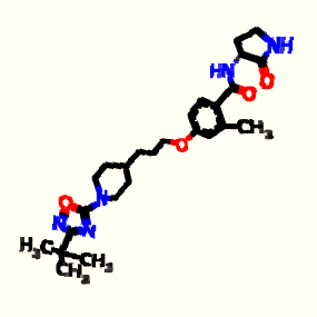 Cc1cc(OCCCC2CCN(c3nc(C(C)(C)C)no3)CC2)ccc1C(=O)N[C@@H]1CCNC1=O